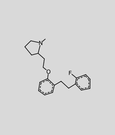 CN1CCCC1CCOc1ccccc1CCc1ccccc1F